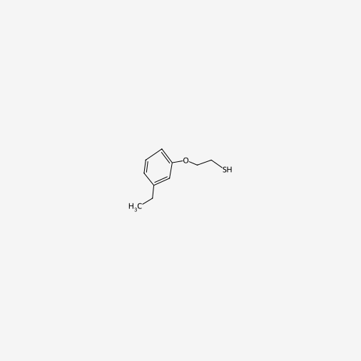 CCc1cccc(OCCS)c1